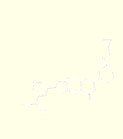 Cc1cc(N2CCC[C@@H](NCC3CC3)C2)cc(=O)n1Cn1cc(-c2cncc(N(C)C)c2)nn1